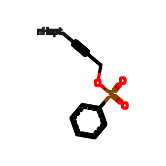 CCCCCCCC#CCOS(=O)(=O)c1ccccc1